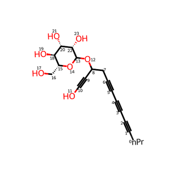 CCCC#CC#CC#CCC(C#CO)OC1O[C@H](CO)[C@@H](O)[C@H](O)[C@@H]1O